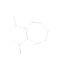 CC(C)C1CCCSCN1C(C)C